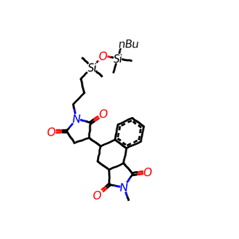 CCCC[Si](C)(C)O[Si](C)(C)CCCN1C(=O)CC(C2CC3C(=O)N(C)C(=O)C3c3ccccc32)C1=O